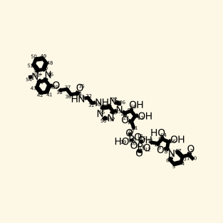 CC(=O)c1ccc[n+](C2OC(COP(=O)(O)OP(=O)(O)OCC3OC(n4cnc5c(NCCNC(=O)CCCOc6cccc7c6nc6ccccc6[n+]7C)ncnc54)C(O)C3O)C(O)C2O)c1